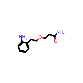 NC(=O)CCOCCc1ccccc1N